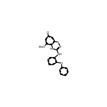 COc1cc(Cl)cc2c1NC(Nc1ccccc1Oc1ccccc1)=NS2